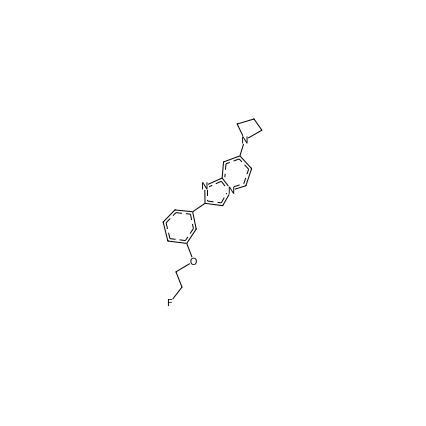 FCCOc1cccc(-c2cn3ccc(N4CCC4)cc3n2)c1